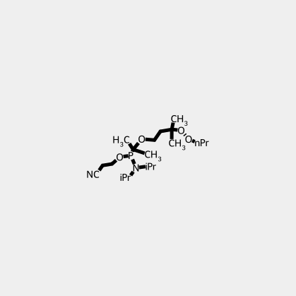 CCCOOC(C)(C)CCOC(C)(C)P(OCCC#N)N(C(C)C)C(C)C